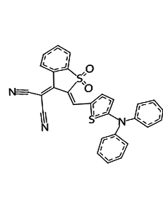 N#CC(C#N)=C1/C(=C/c2ccc(N(c3ccccc3)c3ccccc3)s2)S(=O)(=O)c2ccccc21